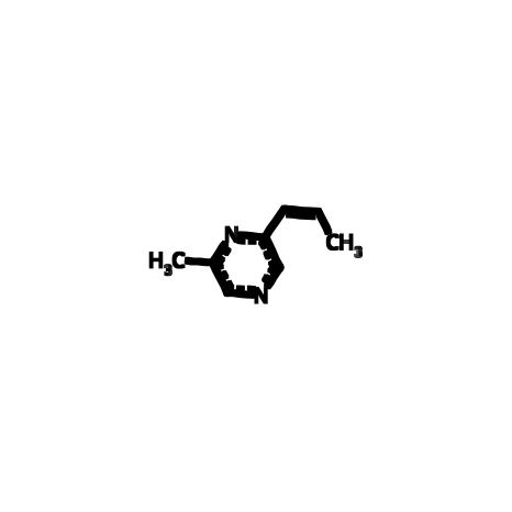 C/C=C\c1cncc(C)n1